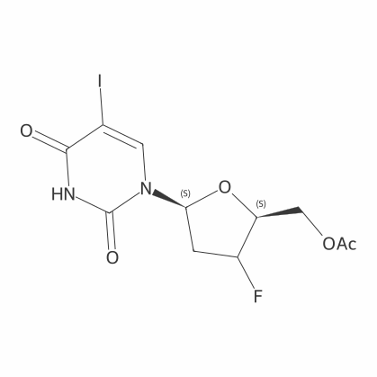 CC(=O)OC[C@@H]1O[C@H](n2cc(I)c(=O)[nH]c2=O)CC1F